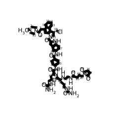 CN1CCN(C(=O)Cc2cc3c(c4ccccc24)[C@H](CCl)CN3C(=O)c2cc3cc(NC(=O)c4ccc(NC(=O)[C@H](CCCNC(N)=O)NC(=O)[C@H](CCCNC(N)=O)NCCNC(=O)CCCN5C(=O)C=CC5=O)cc4)ccc3[nH]2)CC1